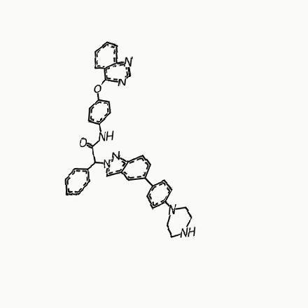 O=C(Nc1ccc(Oc2ncnc3ccccc23)cc1)C(c1ccccc1)n1cc2cc(-c3ccc(N4CCNCC4)cc3)ccc2n1